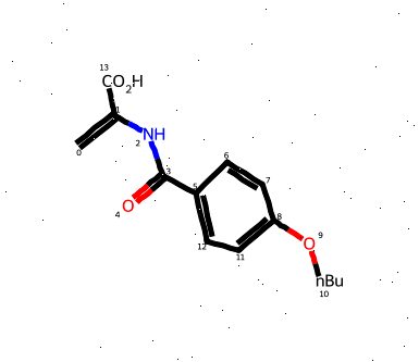 C=C(NC(=O)c1ccc(OCCCC)cc1)C(=O)O